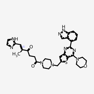 C/C(=C\c1ncc[nH]1)C(=O)CCC(=O)N1CCN(Cc2cc3nc(-c4cccc5[nH]ncc45)nc(N4CCOCC4)c3s2)CC1